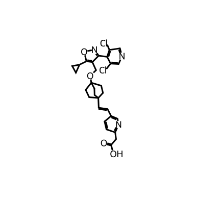 O=C(O)Cc1ccc(C=CC23CCC(OCc4c(-c5c(Cl)cncc5Cl)noc4C4CC4)(CC2)CC3)cn1